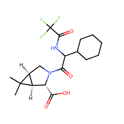 CC1(C)[C@@H]2[C@@H](C(=O)O)N(C(=O)C(NC(=O)C(F)(F)F)C3CCCCC3)C[C@@H]21